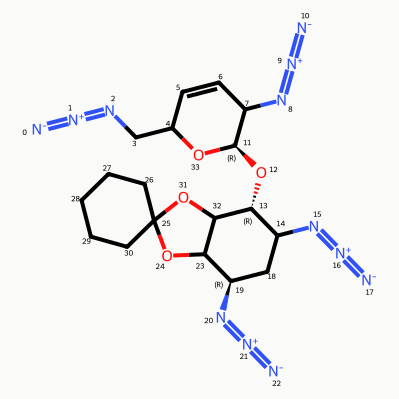 [N-]=[N+]=NCC1C=CC(N=[N+]=[N-])[C@@H](O[C@@H]2C(N=[N+]=[N-])C[C@@H](N=[N+]=[N-])C3OC4(CCCCC4)OC32)O1